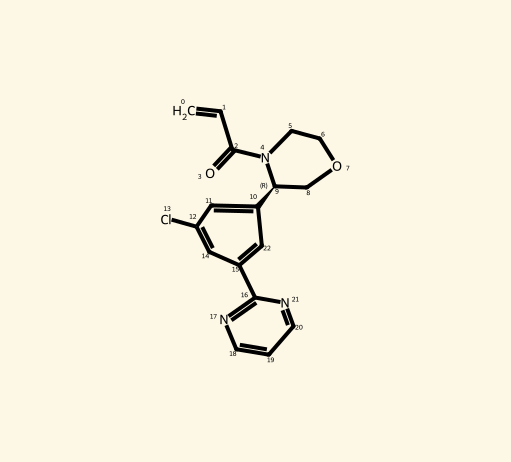 C=CC(=O)N1CCOC[C@H]1c1cc(Cl)cc(-c2ncccn2)c1